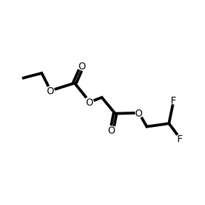 CCOC(=O)OCC(=O)OCC(F)F